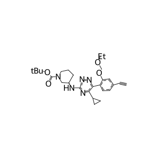 C#Cc1ccc(-c2nnc(N[C@@H]3CCCN(C(=O)OC(C)(C)C)C3)nc2C2CC2)c(OCOCC)c1